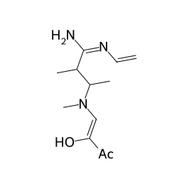 C=C/N=C(/N)C(C)C(C)N(C)/C=C(\O)C(C)=O